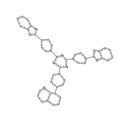 c1cnc2c(-c3ccc(-c4nc(-c5ccc(-c6nc7ccccc7o6)cc5)nc(-c5ccc(-c6nc7ccccc7o6)cc5)n4)cc3)cccc2c1